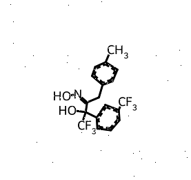 Cc1ccc(CC(=NO)C(O)(c2cccc(C(F)(F)F)c2)C(F)(F)F)cc1